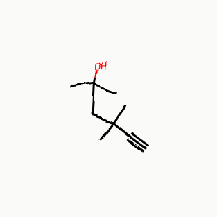 C#CC(C)(C)CC(C)(C)O